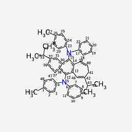 Cc1ccc(N(c2ccccc2)c2c3c(c(N(c4ccccc4)c4ccc(C)cc4)c4cc(C(C)C)ccc24)C=CCC(C(C)C)=C3)cc1